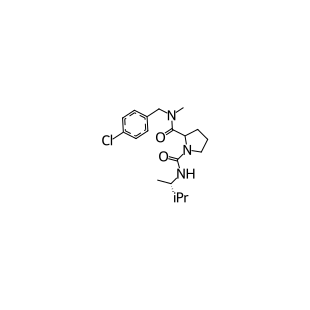 CC(C)[C@H](C)NC(=O)N1CCCC1C(=O)N(C)Cc1ccc(Cl)cc1